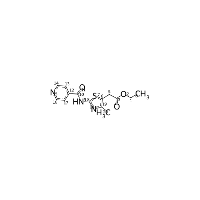 CCOC(=O)Cc1sc(NC(=O)c2ccncc2)nc1C